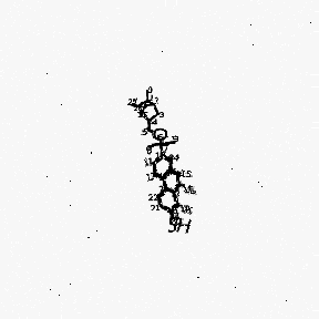 CC1C2CC(COC(C)(C)c3ccc4c(ccc5cc(S)ccc54)c3)C(C2)C1C